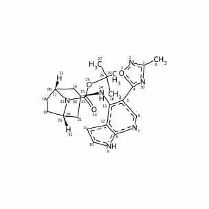 Cc1noc(-c2cnc3[nH]ccc3c2N[C@@H]2C[C@H]3CC[C@@H](C2)N3C(=O)OC(C)(C)C)n1